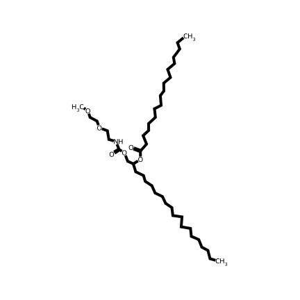 CCCCCCCCCCCCCCCCCCC(COC(=O)NCCOCCOC)OC(=O)CCCCCCCCCCCCCCCCC